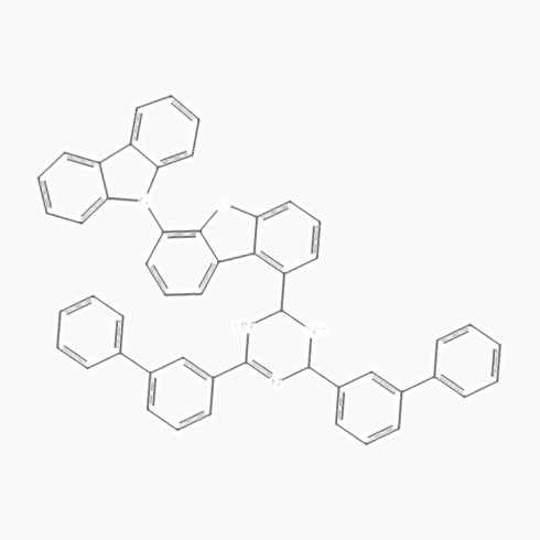 c1ccc(-c2cccc(C3=NC(c4cccc(-c5ccccc5)c4)NC(c4cccc5oc6c(-n7c8ccccc8c8ccccc87)cccc6c45)N3)c2)cc1